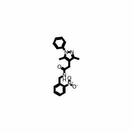 Cc1nn(-c2ccccc2)c(C)c1CC(=O)NCc1ccccc1[N+](=O)[O-]